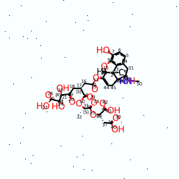 CC[C@]12c3c4ccc(O)c3O[C@H]1C(OC(=O)C[C@H](CC(=O)[C@H](O)[C@@H](O)C(=O)O)C(=O)O[C@@H](C)C(=O)O[C@@H](CC(=O)O)C(=O)O)=CC[C@@]2(O)[C@H](NC)C4